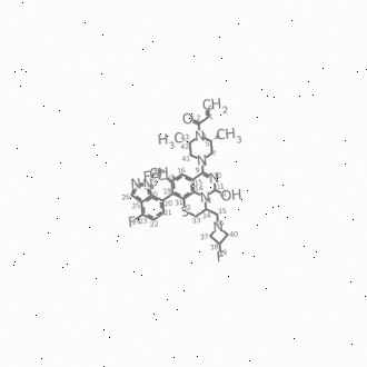 C=CC(=O)N1[C@H](C)CN(C2=NC(O)N3c4c2cc(C(F)(F)F)c(-c2ccc(F)c5cnn(C)c25)c4SCC3CN2CC(F)C2)C[C@@H]1C